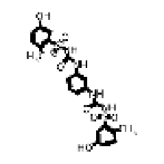 Cc1ccc(O)cc1S(=O)(=O)NC(=O)Nc1cccc(NC(=O)NS(=O)(=O)c2cc(O)ccc2C)c1